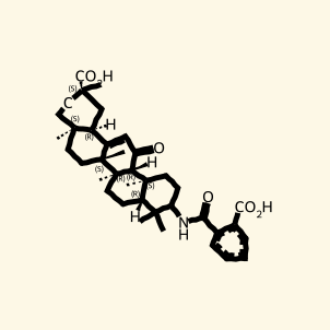 CC1(C)C(NC(=O)c2ccccc2C(=O)O)CC[C@]2(C)[C@H]3C(=O)C=C4[C@@H]5C[C@@](C)(C(=O)O)CC[C@]5(C)CC[C@@]4(C)[C@]3(C)CC[C@@H]12